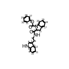 O=C(NCCc1c[nH]c2ccccc12)C1Cc2ccccc2N1C(=O)Oc1ccccc1